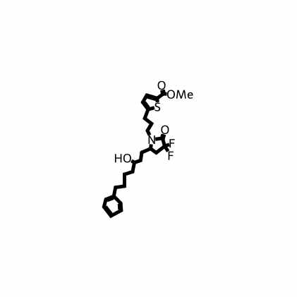 COC(=O)c1ccc(CCCN2C(=O)C(F)(F)CC2CCC(O)CCCCc2ccccc2)s1